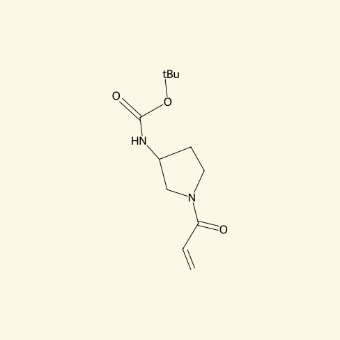 C=CC(=O)N1CCC(NC(=O)OC(C)(C)C)C1